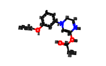 CCCCCOc1cccc(N2C=C(OC(=O)CCCC)N=CC2)c1